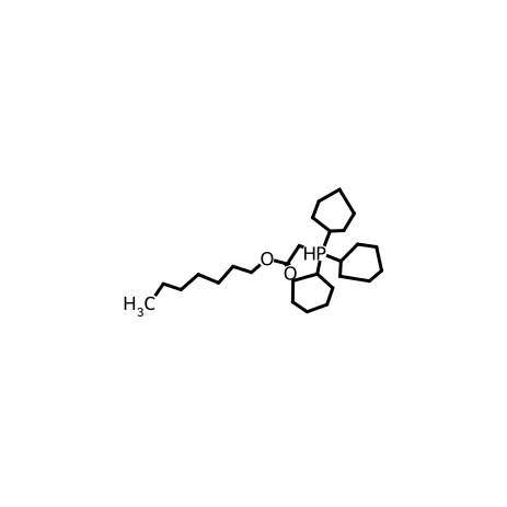 CCCCCCCOC(=O)C[PH](C1CCCCC1)(C1CCCCC1)C1CCCCC1